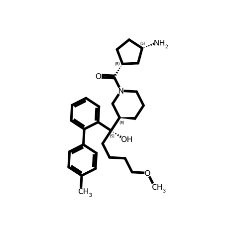 COCCCC[C@@](O)(c1ccccc1-c1ccc(C)cc1)[C@@H]1CCCN(C(=O)[C@@H]2CC[C@H](N)C2)C1